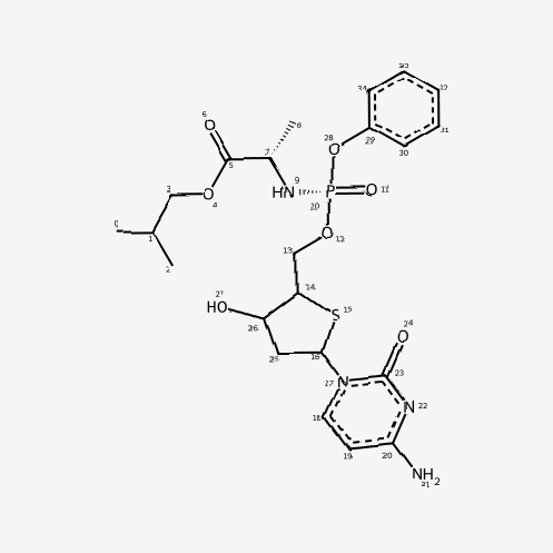 CC(C)COC(=O)[C@H](C)N[P@](=O)(OCC1SC(n2ccc(N)nc2=O)CC1O)Oc1ccccc1